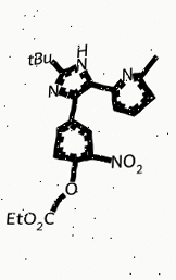 CCOC(=O)COc1ccc(-c2nc(C(C)(C)C)[nH]c2-c2cccc(C)n2)cc1[N+](=O)[O-]